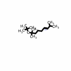 CC(C)/C=C/CCCC(C)(C)OC(C)(C)C